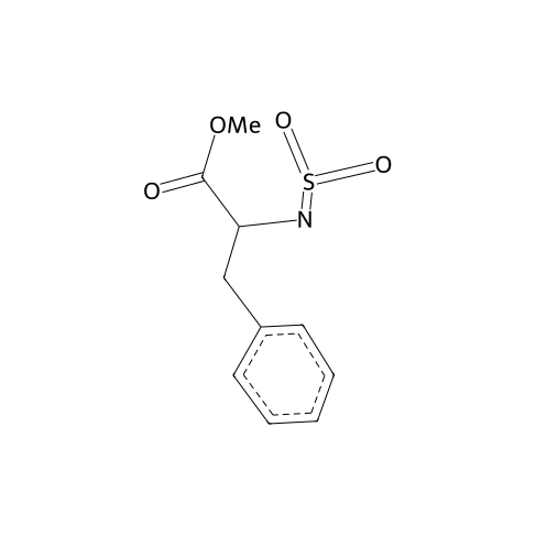 COC(=O)C(Cc1ccccc1)N=S(=O)=O